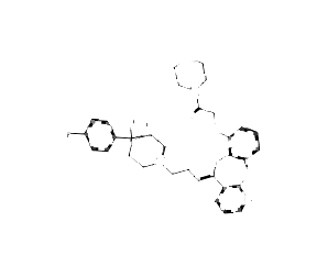 O=C(COc1cccc2c1CC(=CCCN1CCC(O)(c3ccc(Cl)cc3)CC1)c1cccnc1O2)N1CCOCC1